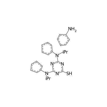 CC(C)N(c1ccccc1)c1nc(S)nc(N(c2ccccc2)C(C)C)n1.Nc1ccccc1